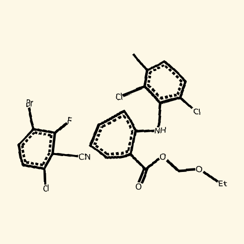 CCOCOC(=O)c1ccccc1Nc1c(Cl)ccc(C)c1Cl.N#Cc1c(Cl)ccc(Br)c1F